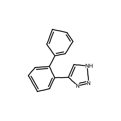 c1ccc(-c2ccccc2-c2c[nH]nn2)cc1